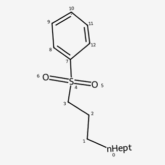 CCCCCCCCCCS(=O)(=O)c1cc[c]cc1